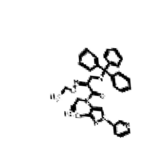 C#CCN(C(=O)/C(CSC(c1ccccc1)(c1ccccc1)c1ccccc1)=N\OCC)c1cn(-c2cccnc2)nc1Cl